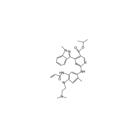 C=CC(=O)Nc1cc(Nc2ncc(C(=O)OC(C)C)c(-c3nn(C)c4ccccc34)n2)c(C)cc1N(C)CCN(C)C